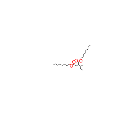 CCCCCCCCOC(=O)CC(C(=O)OCCCCCCCC)C(C)CC